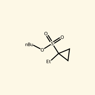 CCCCOS(=O)(=O)C1(CC)CC1